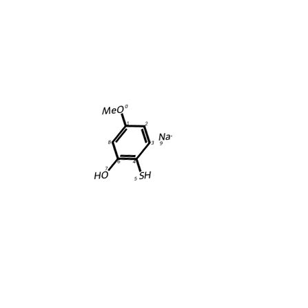 COc1ccc(S)c(O)c1.[Na]